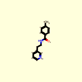 Cc1ccc(C(=O)NCCc2cccnc2)cc1